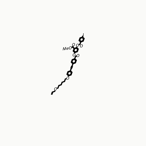 C=CCOCCCCCCOc1ccc(C#Cc2ccc(C(=O)Oc3ccc(OC(=O)c4ccc(I)cc4)c(C(=O)OC)c3)cc2)cc1